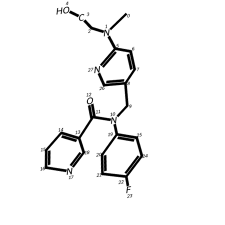 CN(CCO)c1ccc(CN(C(=O)c2cccnc2)c2ccc(F)cc2)cn1